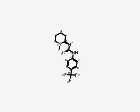 CN1CCCCC1=NC(=O)Nc1ccc(C(F)(F)F)cc1